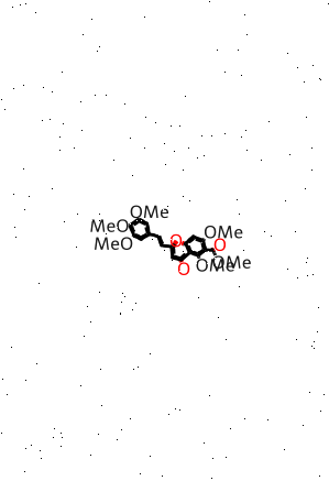 COC(=O)c1c(OC)cc2oc(C=Cc3cc(OC)c(OC)c(OC)c3)cc(=O)c2c1OC